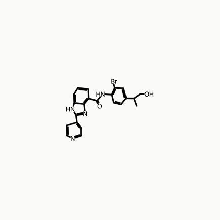 CC(CO)c1ccc(NC(=O)c2cccc3[nH]c(-c4ccncc4)nc23)c(Br)c1